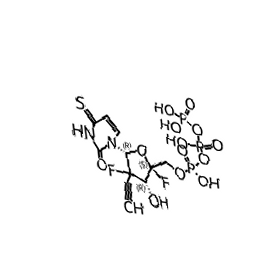 C#CC1(F)[C@@H](O)[C@@](F)(COP(=O)(O)OP(=O)(O)OP(=O)(O)O)O[C@H]1n1ccc(=S)[nH]c1=O